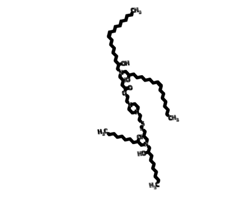 CCCCCCCC/C=C\CCCCCCC(O)CN(CCCC(=O)OCCN1CCN(CCSSCCCN(CC(O)CCCCCCCC)CC(O)CCCCCCCC)CC1)CC(O)CCCCCC/C=C\CCCCCCCC